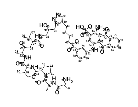 CC(N)C(=O)NC(C)C(=O)N1CCCC1C(=O)NC(C(=O)NC(C)C(=O)CC(C(=O)NCC(O)Cn1nncc1CCCCS(=O)(=O)c1cccc(Nc2cc(S(=O)(=O)O)c(N)c3c2C(=O)c2ccccc2C3=O)c1)C(C)C)C(C)C